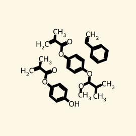 C=C(C)C(=O)Oc1ccc(O)cc1.C=C(C)C(=O)Oc1ccc(OC(OC)C(C)C)cc1.C=Cc1ccccc1